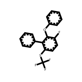 Fc1ccc(SC(F)(F)F)c(-c2ccccc2)c1Oc1ccccc1